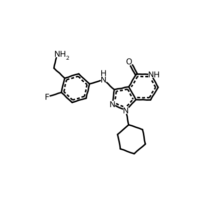 NCc1cc(Nc2nn(C3CCCCC3)c3cc[nH]c(=O)c23)ccc1F